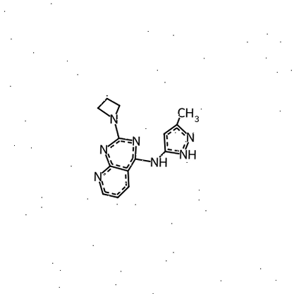 Cc1cc(Nc2nc(N3C[CH]C3)nc3ncccc23)[nH]n1